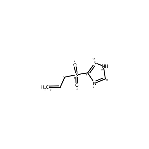 C=CCS(=O)(=O)c1nc[nH]n1